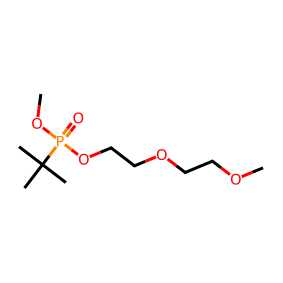 COCCOCCOP(=O)(OC)C(C)(C)C